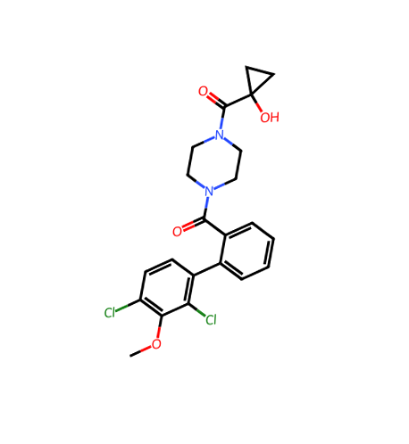 COc1c(Cl)ccc(-c2ccccc2C(=O)N2CCN(C(=O)C3(O)CC3)CC2)c1Cl